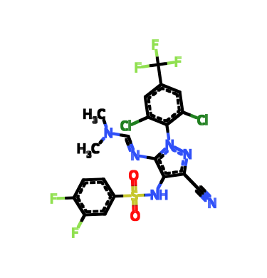 CN(C)/C=N/c1c(NS(=O)(=O)c2ccc(F)c(F)c2)c(C#N)nn1-c1c(Cl)cc(C(F)(F)F)cc1Cl